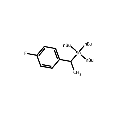 CCC[CH2][Sn]([CH2]CCC)([CH2]CCC)[CH](C)c1ccc(F)cc1